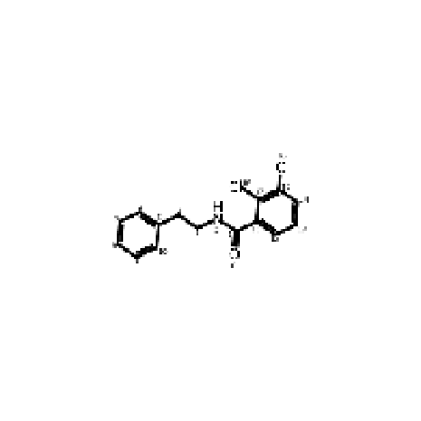 O=C(NC[CH]c1ccccc1)c1cccc(Cl)c1Cl